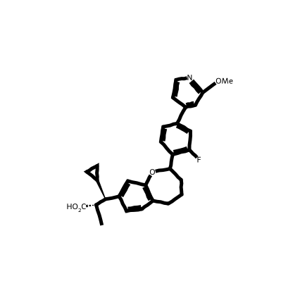 COc1cc(-c2ccc(C3CCCc4ccc([C@H](C5CC5)[C@H](C)C(=O)O)cc4O3)c(F)c2)ccn1